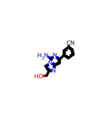 N#Cc1cccc(-c2cc3nc(CO)cn3c(N)n2)c1